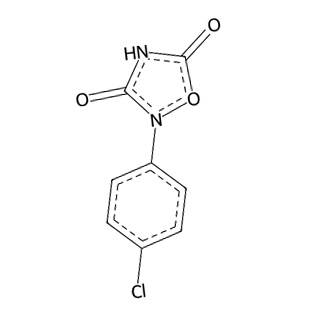 O=c1[nH]c(=O)n(-c2ccc(Cl)cc2)o1